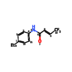 CCc1ccc(NC(=O)/C=C/C(F)(F)F)cc1